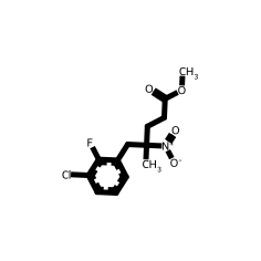 COC(=O)CCC(C)(Cc1cccc(Cl)c1F)[N+](=O)[O-]